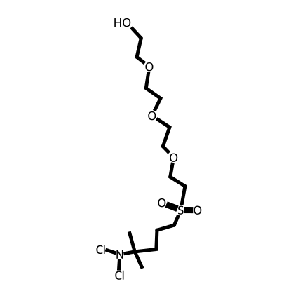 CC(C)(CCCS(=O)(=O)CCOCCOCCOCCO)N(Cl)Cl